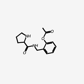 CC(=O)Oc1ccccc1CNC(=O)C1CCCN1